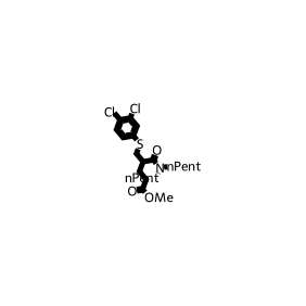 CCCCCN(CCCCC)C(=O)C(CCC(=O)OC)CSc1ccc(Cl)c(Cl)c1